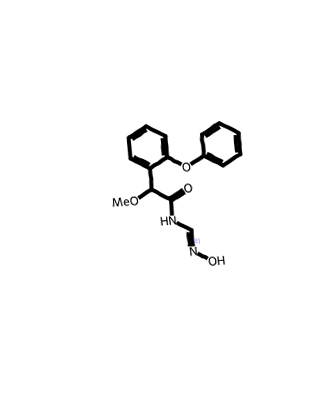 COC(C(=O)N/C=N/O)c1ccccc1Oc1ccccc1